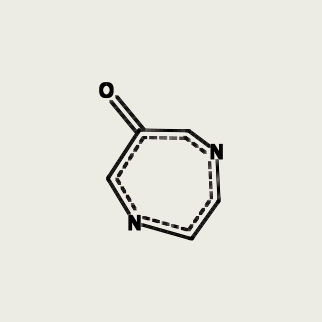 O=c1cnccnc1